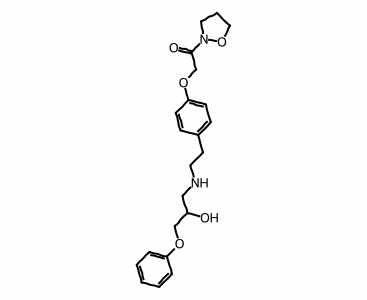 O=C(COc1ccc(CCNCC(O)COc2ccccc2)cc1)N1CCCO1